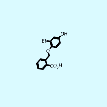 CCc1cc(O)ccc1OCc1ccccc1C(=O)O